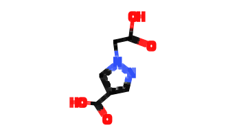 O=C(O)Cn1cc(C(=O)O)cn1